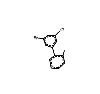 Cc1ccccc1-c1cc(Cl)cc(Br)c1